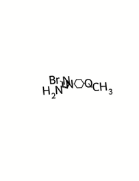 CCO[C@H]1CC[C@H](n2cc(N)c(Br)n2)CC1